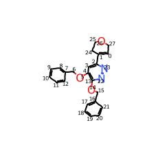 C1=C(c2cc(OCc3ccccc3)c(OCc3ccccc3)nn2)CCOC1